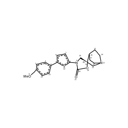 COc1ccc(-c2ccc(N3C[C@@]4(CN5CCC4CC5)OC3=O)s2)cc1